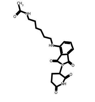 CC(=O)NCCCCCCNc1cccc2c1C(=O)N(C1CCC(=O)NC1=O)C2=O